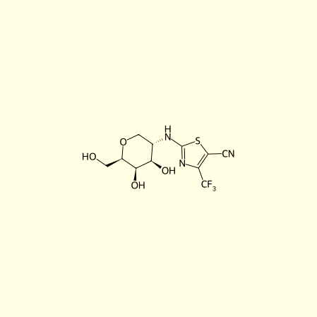 N#Cc1sc(N[C@H]2CO[C@H](CO)[C@H](O)[C@@H]2O)nc1C(F)(F)F